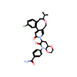 CC(C)C1Cc2ccc(Cl)cc2-c2cc(=O)n(C(CC3COCCO3)C(=O)Nc3ccc(C(N)=O)cc3)cc2CO1